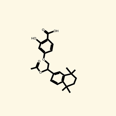 CC(=O)OC(COc1ccc(C(=O)O)c(O)c1)c1ccc2c(c1)C(C)(C)CCC2(C)C